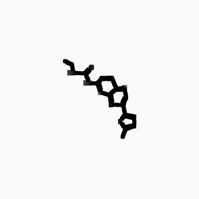 CCNC(=O)Nc1ccc2ncc(-c3ccc(C)s3)nc2n1